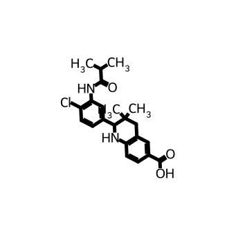 CC(C)C(=O)Nc1cc(C2Nc3ccc(C(=O)O)cc3CC2(C)C)ccc1Cl